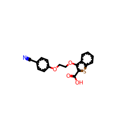 N#Cc1ccc(OCCOc2c(C(=O)O)sc3ccccc23)cc1